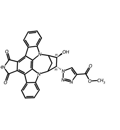 COC(=O)c1cn([C@@H]2C3CC([C@H]2O)n2c4ccccc4c4c5c(c6c7ccccc7n3c6c42)C(=O)NC5=O)nn1